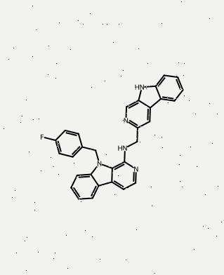 Fc1ccc(Cn2c3ccccc3c3ccnc(NCc4cc5c(cn4)[nH]c4ccccc45)c32)cc1